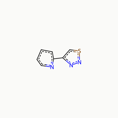 c1ccc(-c2csnn2)nc1